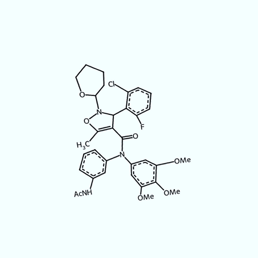 COc1cc(N(C(=O)C2=C(C)ON(C3CCCCO3)C2c2c(F)cccc2Cl)c2cccc(NC(C)=O)c2)cc(OC)c1OC